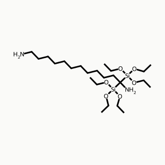 CCO[Si](OCC)(OCC)C(N)(CCCCCCCCCCCN)[Si](OCC)(OCC)OCC